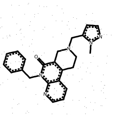 Cn1nccc1CN1CCc2c(c(=O)n(Cc3ccccc3)c3ncccc23)C1